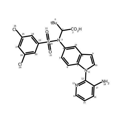 CC(C)(C)C(C(=O)O)N(c1ccc2c(ccn2-c2ncccc2N)c1)S(=O)(=O)c1cc(Cl)cc(Cl)c1